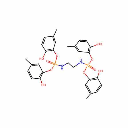 Cc1ccc(O)c(OP(=O)(NCCNP(=O)(Oc2cc(C)ccc2O)Oc2cc(C)ccc2O)Oc2cc(C)ccc2O)c1